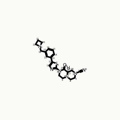 N#CN1CCN2CCN(c3ncc(-c4cccc(CN5CCC5)c4)s3)C(=O)[C@H]2C1